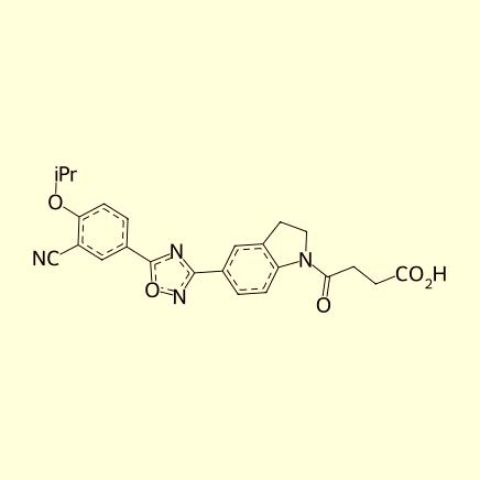 CC(C)Oc1ccc(-c2nc(-c3ccc4c(c3)CCN4C(=O)CCC(=O)O)no2)cc1C#N